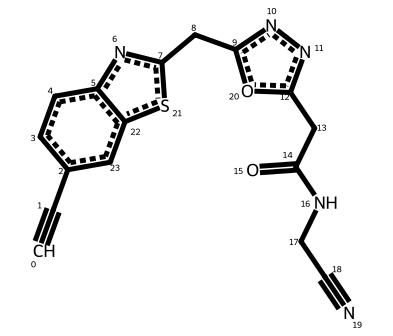 C#Cc1ccc2nc(Cc3nnc(CC(=O)NCC#N)o3)sc2c1